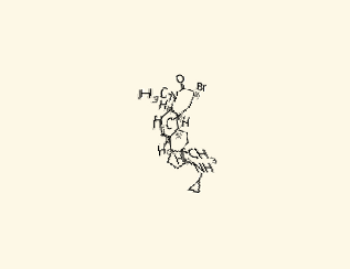 CN1C(=O)[C@H](Br)C[C@]2(C)[C@H]3CC[C@]4(C)[C@@H](NC5CC5)CC[C@H]4[C@@H]3CC[C@@H]12